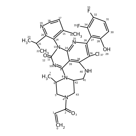 C=CC(=O)N1CC(C)N2c3nc(=O)n(-c4c(C)ccnc4C(C)C)c4nc(-c5c(O)ccc(F)c5F)c(Cl)c(c34)NCC2C1